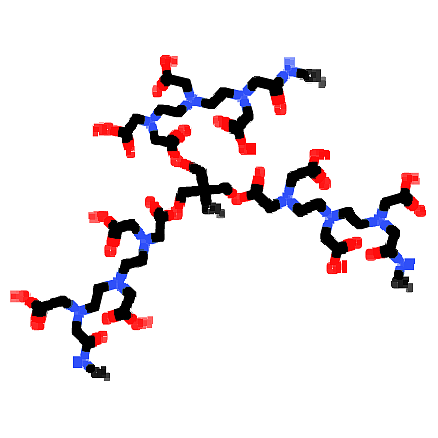 CNC(=O)CN(CCN(CCN(CC(=O)O)CC(=O)OCC(C)(COC(=O)CN(CCN(CCN(CC(=O)O)CC(=O)NC)CC(=O)O)CC(=O)O)COC(=O)CN(CCN(CCN(CC(=O)O)CC(=O)NC)CC(=O)O)CC(=O)O)CC(=O)O)CC(=O)O